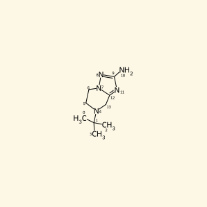 CC(C)(C)N1CCn2nc(N)nc2C1